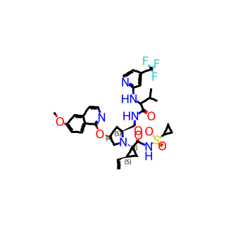 C=C[C@@H]1C[C@@]1(C(=O)NS(=O)(=O)C1CC1)N1C[C@H](Oc2nccc3cc(OC)ccc23)C[C@H]1C(=O)NC(=O)C(Nc1cc(C(F)(F)F)ccn1)C(C)C